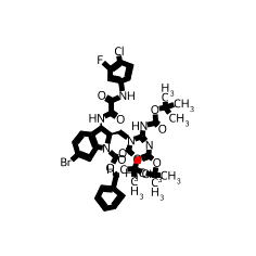 CC(C)(C)OC(=O)/N=C(/NC(=O)OC(C)(C)C)N(C[C@@H]1[C@@H](NC(=O)C(=O)Nc2ccc(Cl)c(F)c2)c2ccc(Br)cc2N1C(=O)OCc1ccccc1)C(=O)OC(C)(C)C